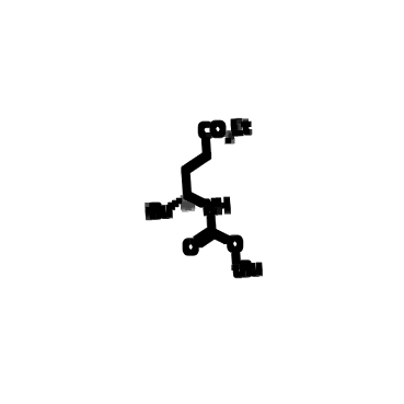 CCOC(=O)CC[C@H](NC(=O)OC(C)(C)C)C(C)CC